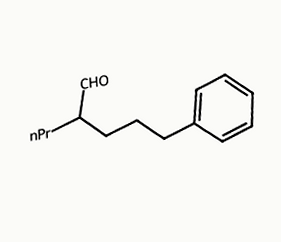 CCCC(C=O)CCCc1ccccc1